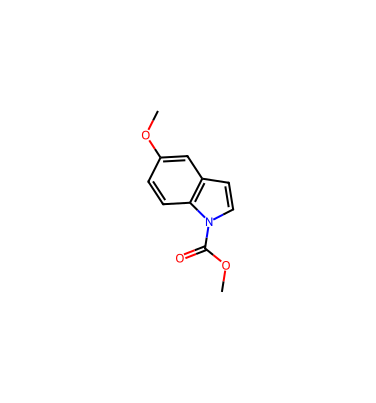 COC(=O)n1ccc2cc(OC)ccc21